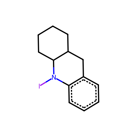 IN1c2ccccc2CC2CCCCC21